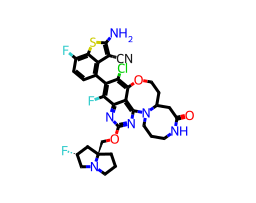 N#Cc1c(N)sc2c(F)ccc(-c3c(Cl)c4c5c(nc(OC[C@@]67CCCN6C[C@H](F)C7)nc5c3F)N3CCCNC(=O)CC3CCO4)c12